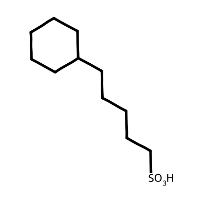 O=S(=O)(O)CCCCCC1CCCCC1